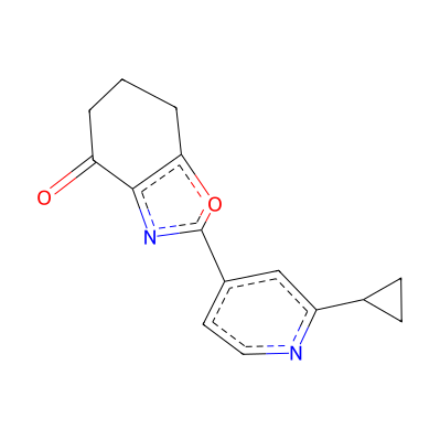 O=C1CCCc2oc(-c3ccnc(C4CC4)c3)nc21